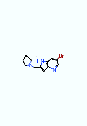 C[C@H]1CCCN1Cc1cc2ncc(Br)cc2[nH]1